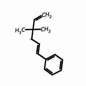 C=CC(C)(C)[CH]C=Cc1ccccc1